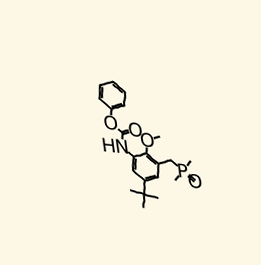 COc1c(CP(C)(C)=O)cc(C(C)(C)C)cc1NC(=O)Oc1ccccc1